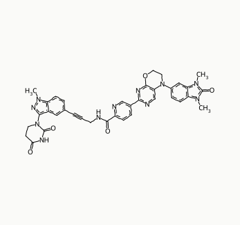 Cn1nc(N2CCC(=O)NC2=O)c2cc(C#CCNC(=O)c3ccc(-c4ncc5c(n4)OCCN5c4ccc5c(c4)n(C)c(=O)n5C)cn3)ccc21